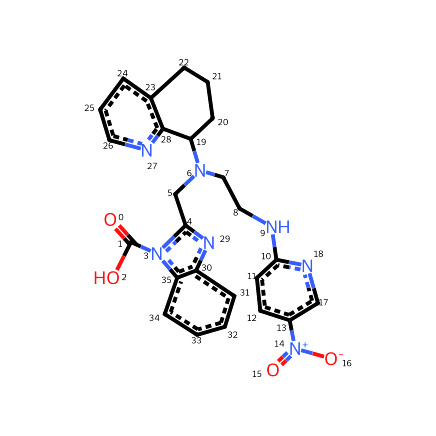 O=C(O)n1c(CN(CCNc2ccc([N+](=O)[O-])cn2)C2CCCc3cccnc32)nc2ccccc21